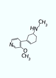 CCNC1CCC=C(c2ccncc2OC)C1